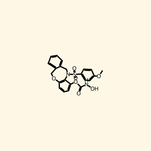 COc1ccc(S(=O)(=O)N2Cc3ccccc3COc3cccc(OC(=O)NO)c32)cc1